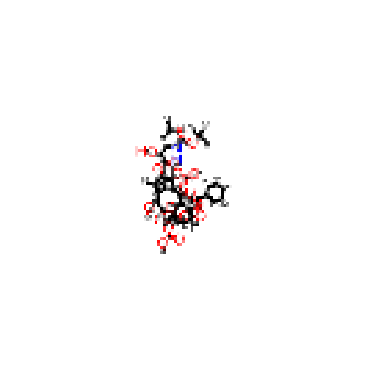 COC(=O)O[C@H]1C[C@H]2OC[C@@]2(OC(C)=O)[C@H]2[C@H](OC(=O)c3ccccc3)[C@]34OC(=O)O[C@H]3[C@H](OC(=O)[C@H](O)[C@H](CC(C)C)NC(=O)OC(C)(C)C)C(C)=C([C@@H](OC)C(=O)[C@]12C)C4(C)C